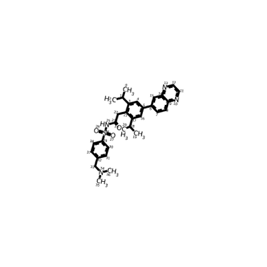 CC(C)c1cc(-c2ccc3nccnc3c2)cc(C(C)C)c1CC(=O)NS(=O)(=O)c1ccc(CN(C)C)cc1